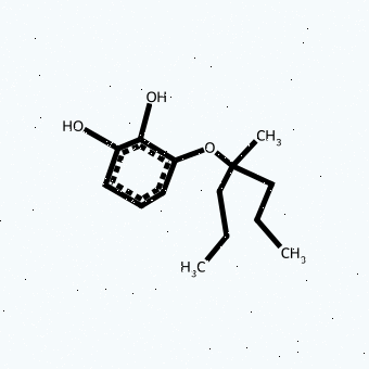 CCCC(C)(CCC)Oc1cccc(O)c1O